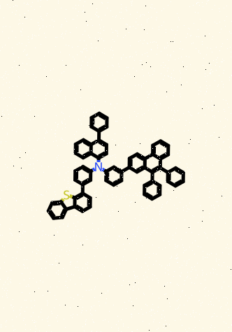 c1ccc(-c2ccc(N(c3cccc(-c4ccc5c(c4)c(-c4ccccc4)c(-c4ccccc4)c4ccccc45)c3)c3cccc(-c4cccc5c4sc4ccccc45)c3)c3ccccc23)cc1